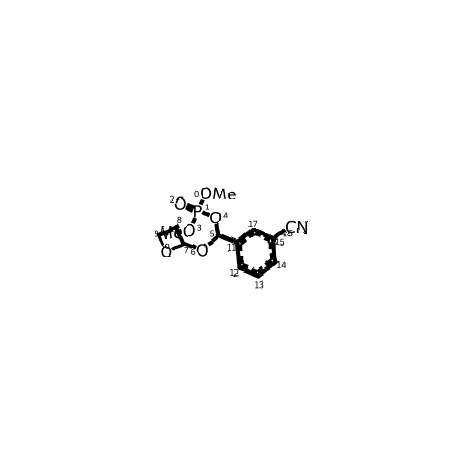 COP(=O)(OC)OC(OC1CCO1)c1cccc(C#N)c1